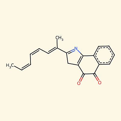 C\C=C/C=C\C=C(/C)C1=NC2=C(C1)C(=O)C(=O)c1ccccc12